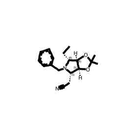 CC[C@@H]1[C@H]2OC(C)(C)O[C@H]2[C@H](CC#N)N1Cc1ccccc1